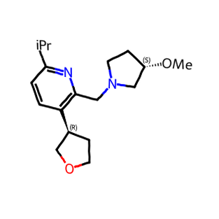 CO[C@H]1CCN(Cc2nc(C(C)C)ccc2[C@H]2CCOC2)C1